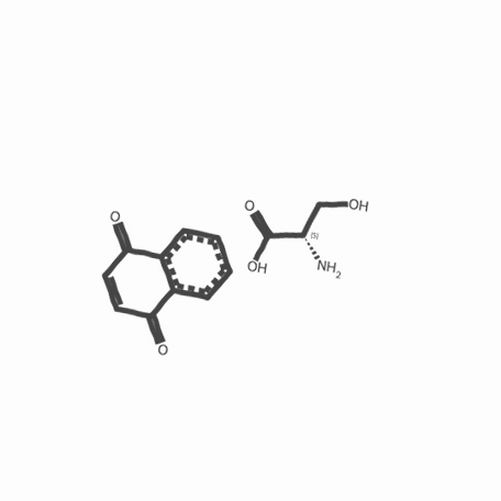 N[C@@H](CO)C(=O)O.O=C1C=CC(=O)c2ccccc21